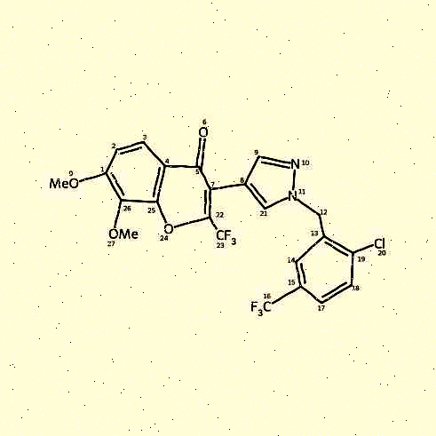 COc1ccc2c(=O)c(-c3cnn(Cc4cc(C(F)(F)F)ccc4Cl)c3)c(C(F)(F)F)oc2c1OC